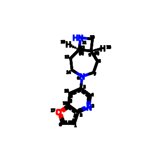 c1cc2ncc(N3CC[C@@H]4CN[C@@H]4CC3)cc2o1